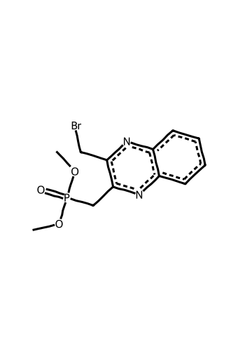 COP(=O)(Cc1nc2ccccc2nc1CBr)OC